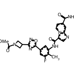 COC(=O)N1CC(c2noc(-c3cc(F)c(C)c(NC(=O)c4cnc5cc(C(N)=O)ccn45)c3)n2)C1